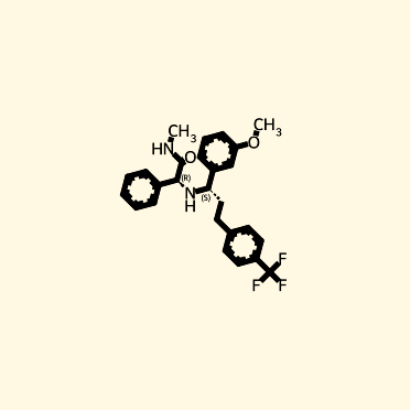 CNC(=O)[C@H](N[C@@H](CCc1ccc(C(F)(F)F)cc1)c1cccc(OC)c1)c1ccccc1